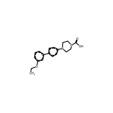 CCOc1cccc(-c2ccc(N3CCN(C(=O)O)CC3)cc2)c1